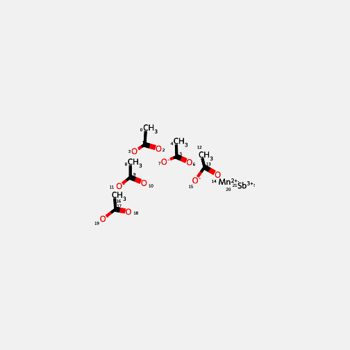 CC(=O)[O-].CC(=O)[O-].CC(=O)[O-].CC(=O)[O-].CC(=O)[O-].[Mn+2].[Sb+3]